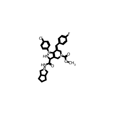 COC(=O)N1CC2=C(/C(=C/c3ccc(F)cc3)C1)N(c1ccc(Cl)cc1)NC2C(=O)NN1CC2CCCC2C1